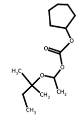 CCC(C)(C)OC(C)OC(=O)OC1CCCCC1